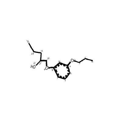 CCCOc1cccc(OCC(O)CCC)c1